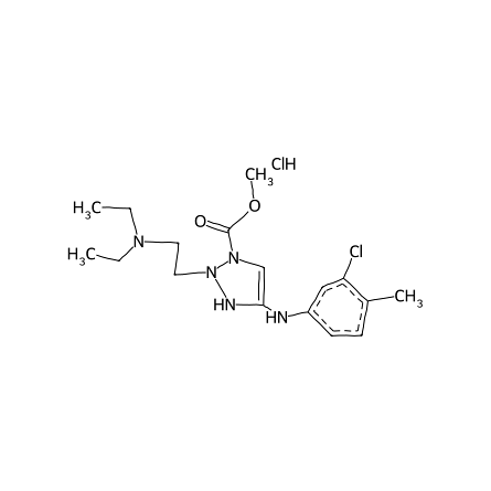 CCN(CC)CCN1NC(Nc2ccc(C)c(Cl)c2)=CN1C(=O)OC.Cl